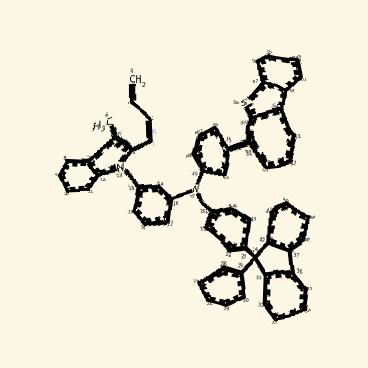 C=C/C=C\c1c(C)c2ccccc2n1-c1cccc(N(c2ccc(C3(c4ccccc4)c4ccccc4-c4ccccc43)cc2)c2cccc(-c3cccc4c3sc3ccccc34)c2)c1